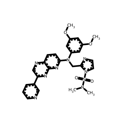 COc1cc(OC)cc(N(Cc2nccn2S(=O)(=O)N(C)C)c2ccc3ncc(-c4cccnc4)nc3n2)c1